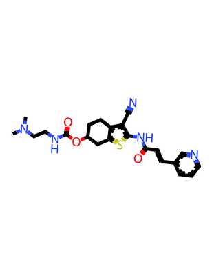 CN(C)CCNC(=O)OC1CCc2c(sc(NC(=O)/C=C/c3cccnc3)c2C#N)C1